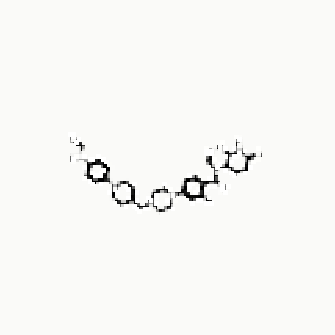 Cc1cc(N2CCN(CC3CCN(c4ccc(NC=O)cc4)CC3)CC2)ccc1C(=O)N(C=O)C1CCC(=O)NC1=O